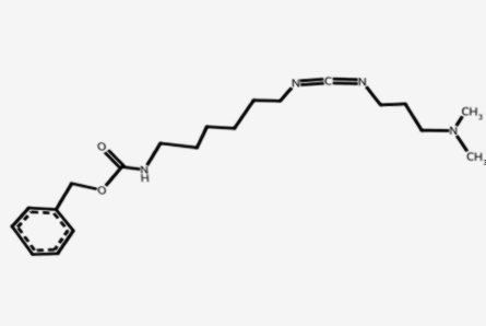 CN(C)CCCN=C=NCCCCCCNC(=O)OCc1ccccc1